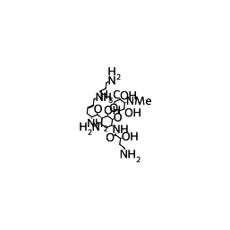 CN[C@@H]1[C@@H](O)[C@@H](O[C@@H]2[C@@H](O)[C@H](C3OC(CNCCCN)=CC[C@H]3N)[C@@H](N)C[C@H]2NC(=O)[C@@H](O)CCN)OC[C@]1(C)O